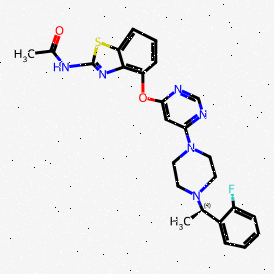 CC(=O)Nc1nc2c(Oc3cc(N4CCN([C@H](C)c5ccccc5F)CC4)ncn3)cccc2s1